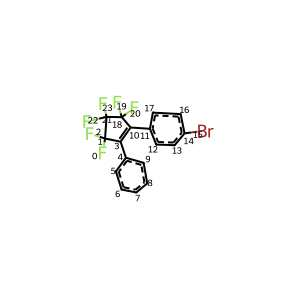 FC1(F)C(c2ccccc2)=C(c2ccc(Br)cc2)C(F)(F)C1(F)F